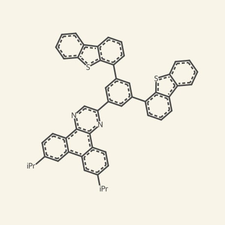 CC(C)c1ccc2c(c1)c1cc(C(C)C)ccc1c1nc(-c3cc(-c4cccc5c4sc4ccccc45)cc(-c4cccc5c4sc4ccccc45)c3)cnc21